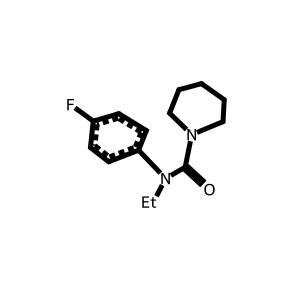 CCN(C(=O)N1CCCCC1)c1ccc(F)cc1